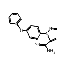 C=NN(C(=C)C(=N)N)c1ccc(Oc2ccccc2)cc1